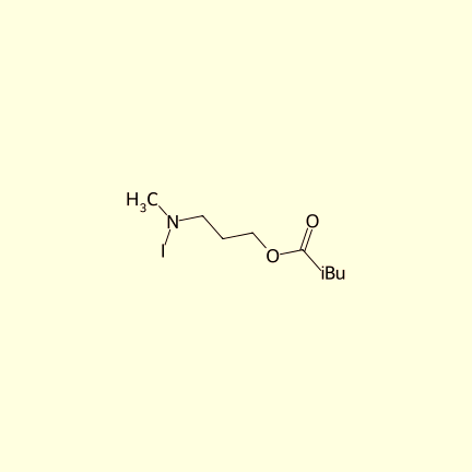 CCC(C)C(=O)OCCCN(C)I